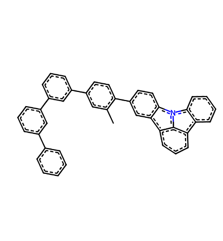 Cc1cc(-c2cccc(-c3cccc(-c4ccccc4)c3)c2)ccc1-c1ccc2c(c1)c1cccc3c4ccccc4n2c31